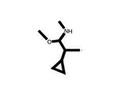 [CH2]C(C1CC1)C(NC)OC